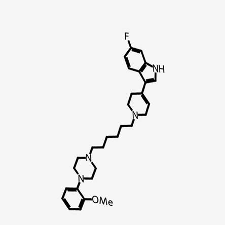 COc1ccccc1N1CCN(CCCCCCN2CC=C(c3c[nH]c4cc(F)ccc34)CC2)CC1